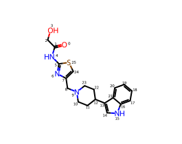 O=C(CO)Nc1nc(CN2CCC(c3c[nH]c4ccccc34)CC2)cs1